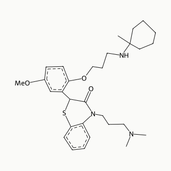 COc1ccc(OCCCNC2(C)CCCCC2)c(C2Sc3ccccc3N(CCCN(C)C)C2=O)c1